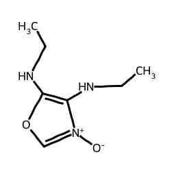 CCNc1oc[n+]([O-])c1NCC